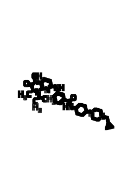 CC(C)N1c2nc(Nc3cccc(C(=O)NC4CCC(N5CCN(CC6CC6)CC5)CC4)c3)ccc2N(C)C(=O)[C@H]1C